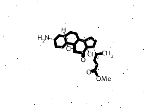 COC(=O)CCC(C)[C@H]1CCC2C3CC[C@@H]4C[C@@H](N)CC[C@]4(C)C3CC(=O)[C@@]21C